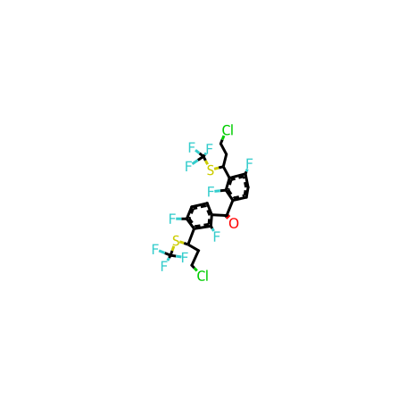 O=C(c1ccc(F)c(C(CCCl)SC(F)(F)F)c1F)c1ccc(F)c(C(CCCl)SC(F)(F)F)c1F